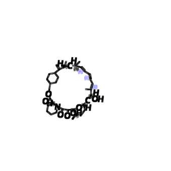 C=C1C2CCC(CC2)OC(=O)[C@@H]2CCCCN2C(=O)C(=O)[C@]2(O)O[C@@H](CC[C@H]2C)C[C@H](O)/C(C)=C/C=C/C=C/[C@@H](C)C[C@H]1C